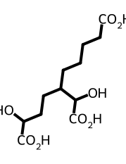 O=C(O)CCCCC(CCC(O)C(=O)O)C(O)C(=O)O